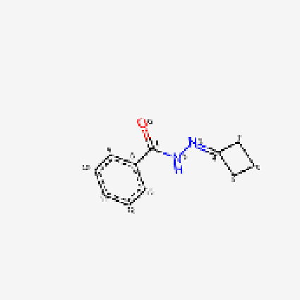 O=C(NN=C1CCC1)c1ccccc1